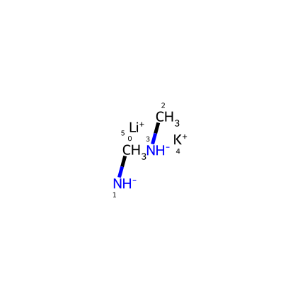 C[NH-].C[NH-].[K+].[Li+]